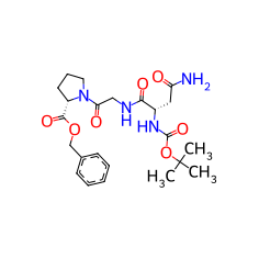 CC(C)(C)OC(=O)N[C@@H](CC(N)=O)C(=O)NCC(=O)N1CCC[C@H]1C(=O)OCc1ccccc1